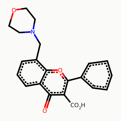 O=C(O)c1c(-c2ccccc2)oc2c(CN3CCOCC3)cccc2c1=O